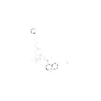 COc1ccc2ncc(Cl)c([C@H](O)CCC3(C(=O)NO)CCN(CCCCc4cccs4)CC3)c2c1